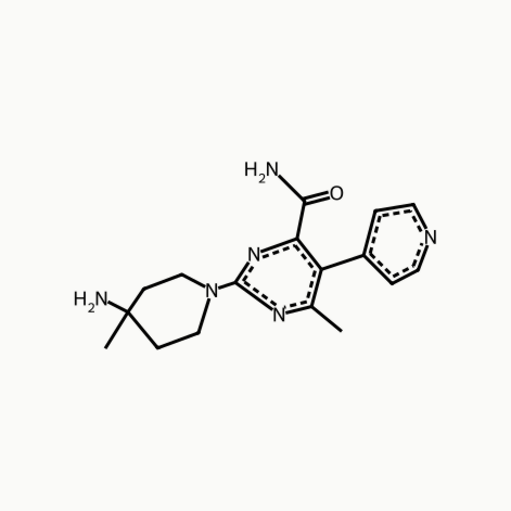 Cc1nc(N2CCC(C)(N)CC2)nc(C(N)=O)c1-c1ccncc1